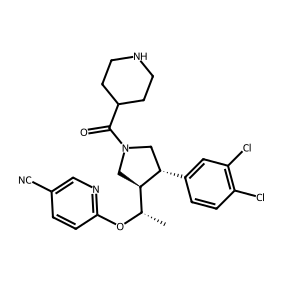 C[C@H](Oc1ccc(C#N)cn1)[C@H]1CN(C(=O)C2CCNCC2)C[C@@H]1c1ccc(Cl)c(Cl)c1